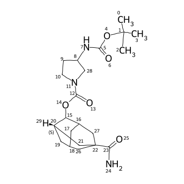 CC(C)(C)OC(=O)NC1CCN(C(=O)OC2C3CC4C[C@H]2CC(C(N)=O)(C4)C3)C1